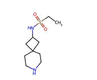 CCS(=O)(=O)NC1CC2(CCNCC2)C1